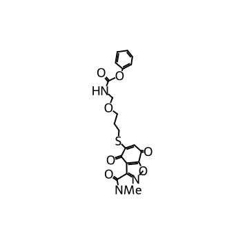 CNC(=O)c1noc2c1C(=O)C(SCCCOCNC(=O)Oc1ccccc1)=CC2=O